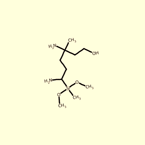 CO[Si](C)(OC)C(N)CCC(C)(N)CCO